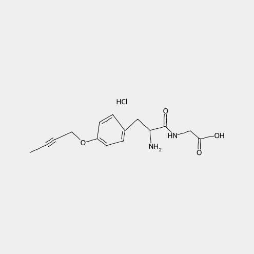 CC#CCOc1ccc(CC(N)C(=O)NCC(=O)O)cc1.Cl